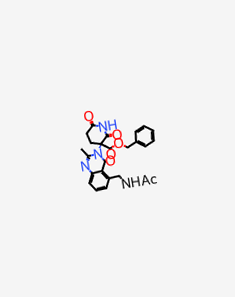 CC(=O)NCc1cccc2nc(C)n([C@@]3(C(=O)OCc4ccccc4)CCC(=O)NC3=O)c(=O)c12